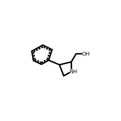 OCC1NCC1c1ccccc1